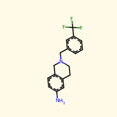 Nc1ccc2c(c1)CCN(Cc1cccc(C(F)(F)F)c1)C2